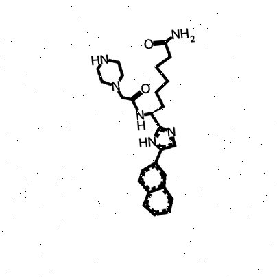 NC(=O)CCCCC[C@H](NC(=O)CN1CCNCC1)c1ncc(-c2ccc3ccccc3c2)[nH]1